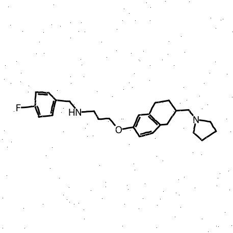 Fc1ccc(CNCCCOc2ccc3c(c2)CCC(CN2CCCC2)C3)cc1